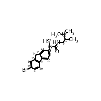 CC(CNC(=O)N(S)c1ccc2c(c1)Cc1cc(Br)ccc1-2)N(C)C